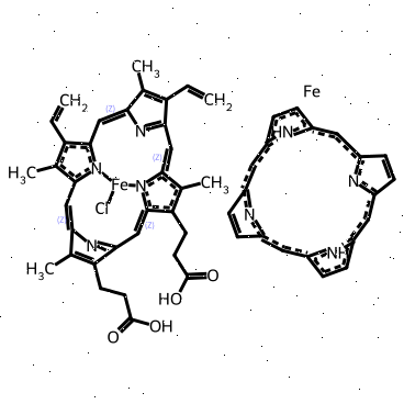 C1=Cc2cc3ccc(cc4nc(cc5ccc(cc1n2)[nH]5)C=C4)[nH]3.C=CC1=C(C)/C2=C/c3c(C=C)c(C)c4[n]3[Fe]([Cl])[n]3/c(c(C)c(CCC(=O)O)/c3=C/C3=NC(=C\4)/C(C)=C3CCC(=O)O)=C\C1=N2.[Fe]